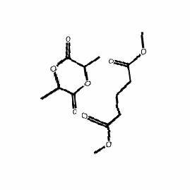 CC1OC(=O)C(C)OC1=O.COC(=O)CCCC(=O)OC